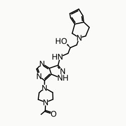 CC(=O)N1CCN(c2ncnc3c(NC[C@@H](O)CN4CCc5ccccc5C4)n[nH]c23)CC1